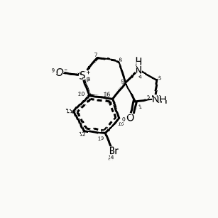 O=C1NCNC12CC[S+]([O-])c1ccc(Br)cc12